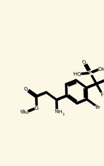 CC(C)(C)OC(=O)CC(N)c1ccc(C(F)(F)P(=O)(O)O)c(Br)c1